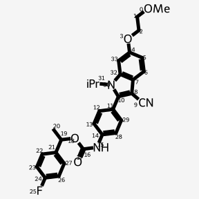 COCCOc1ccc2c(C#N)c(-c3ccc(NC(=O)OC(C)c4ccc(F)cc4)cc3)n(C(C)C)c2c1